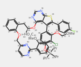 COCOc1c(-c2c(-c3ccc(F)cc3)sc3ncnc(O[C@H](Cc4ccccc4OCc4ccnc(-c5ccccc5OC)n4)C(=O)O)c23)ccc(O[Si](C(C)C)(C(C)C)C(C)C)c1Cl